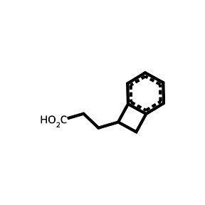 O=C(O)CCC1Cc2ccccc21